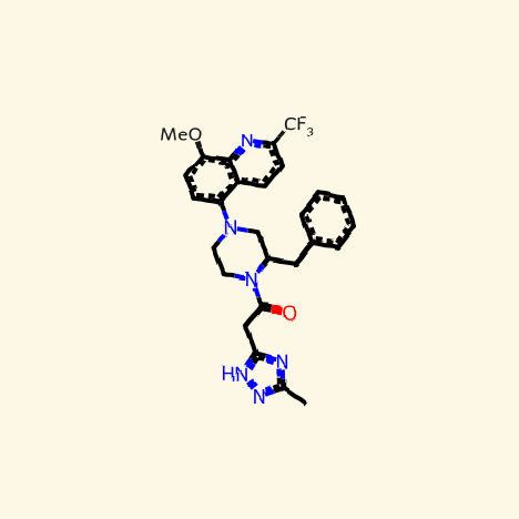 COc1ccc(N2CCN(C(=O)Cc3nc(C)n[nH]3)C(Cc3ccccc3)C2)c2ccc(C(F)(F)F)nc12